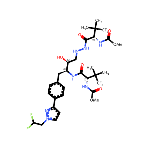 COC(=O)N[C@H](C(=O)NNC[C@H](O)[C@H](Cc1ccc(-c2ccn(CC(F)F)n2)cc1)NC(=O)[C@@H](NC(=O)OC)C(C)(C)C(F)(F)F)C(C)(C)C(F)(F)F